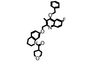 Cc1c(COc2ccc3c(c2)N(C(=O)C2CCOCC2)CCC3)nc2ccc(F)cc2c1OCc1ccccc1